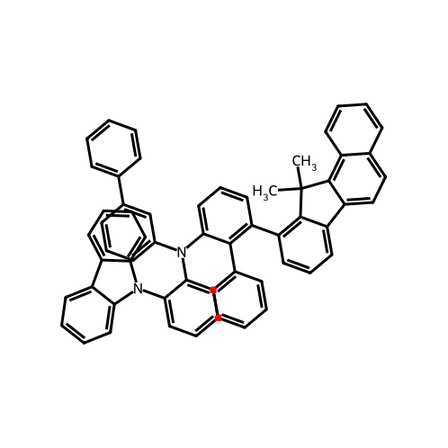 CC1(C)c2c(-c3cccc(N(c4cccc(-c5ccccc5)c4)c4ccccc4-n4c5ccccc5c5ccccc54)c3-c3ccccc3)cccc2-c2ccc3ccccc3c21